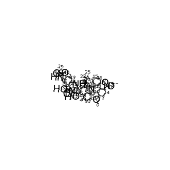 COc1ccc([N+](=O)[O-])cc1CN(c1ccccc1)C1(CCC(C)(C)C)C(=O)C(C2=NS(O)(O)c3cc(NS(C)(=O)=O)ccc3N2)=C(O)c2ccccc21